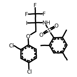 Cc1cc(C)c(S(=O)(=O)NC(I)(COc2ccc(Cl)cc2Cl)C(F)(F)F)c(C)c1